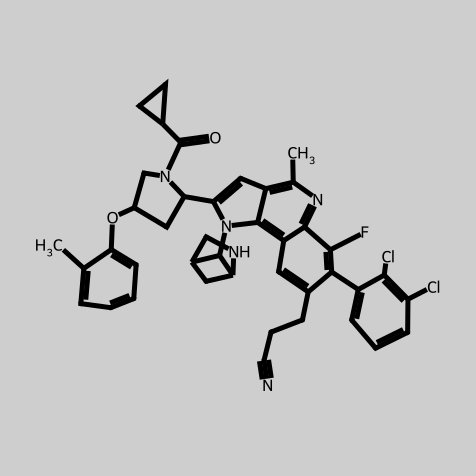 Cc1ccccc1OC1CC(c2cc3c(C)nc4c(F)c(-c5cccc(Cl)c5Cl)c(CCC#N)cc4c3n2C2C3CNC2C3)N(C(=O)C2CC2)C1